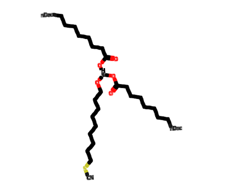 CCCCCCCCCCCCCCCCCC(=O)O[SiH](OCCCCCCCCCSC#N)OC(=O)CCCCCCCCCCCCCCCCC